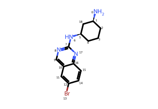 N[C@H]1CCC[C@@H](Nc2ncc3cc(Br)ccc3n2)C1